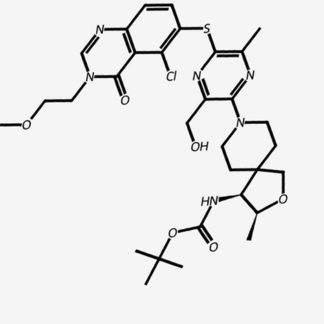 COCCn1cnc2ccc(Sc3nc(CO)c(N4CCC5(CC4)CO[C@@H](C)[C@H]5NC(=O)OC(C)(C)C)nc3C)c(Cl)c2c1=O